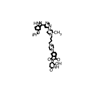 CC(C)Oc1ccc2[nH]nc(-c3cc(N4CCN(CCCCN5CCN(c6ccc7c(c6)C(=O)N(C6CCC(=O)NC6O)C7=O)CC5)[C@@H](C)C4)ncn3)c2c1